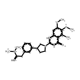 COc1cc2[nH]c(N3CCC(c4cccc(CC(=N)N(C)C)c4)C3)nc(=O)c2c(C)c1OC